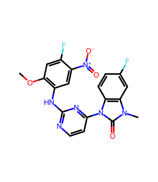 COc1cc(F)c([N+](=O)[O-])cc1Nc1nccc(-n2c(=O)n(C)c3cc(F)ccc32)n1